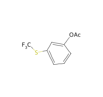 CC(=O)Oc1cccc(SC(F)(F)F)c1